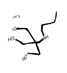 CCCNC(CO)(CO)CO.Cl